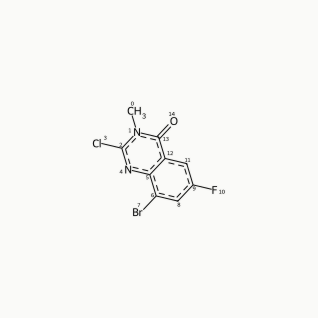 Cn1c(Cl)nc2c(Br)cc(F)cc2c1=O